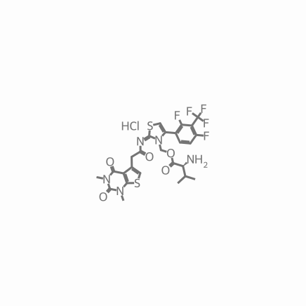 CC(C)[C@H](N)C(=O)OCn1c(-c2ccc(F)c(C(F)(F)F)c2F)csc1=NC(=O)Cc1csc2c1c(=O)n(C)c(=O)n2C.Cl